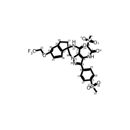 CS(=O)(=O)CC(=O)Nc1c(-c2ccc(S(C)(=O)=O)cc2)nn2c1C(=O)N[C@]1(CCc3cc(OCC(F)(F)F)ccc31)C2